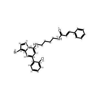 O=C(/C=C/c1ccccc1)NCCCCNc1cc(-c2ccccc2Cl)nc2c(Br)cnn12